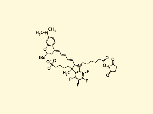 CN(C)c1ccc2c(c1)OC(C(C)(C)C)=C\C2=C/C=C/C=C/C1=[N+](CCCCCC(=O)ON2C(=O)CCC2=O)c2c(F)c(F)c(F)c(F)c2C1(C)CCCCS(=O)(=O)[O-]